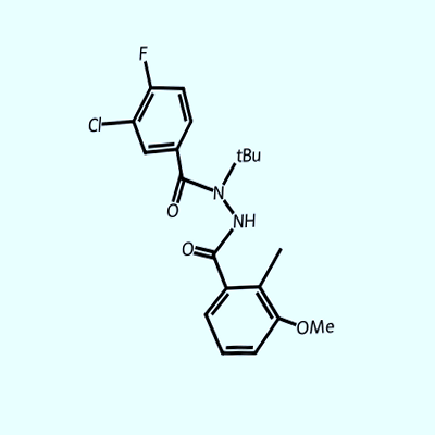 COc1cccc(C(=O)NN(C(=O)c2ccc(F)c(Cl)c2)C(C)(C)C)c1C